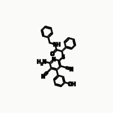 N#Cc1c(N)nc(SC(C(=O)NCc2ccccc2)c2ccccc2)c(C#N)c1-c1cccc(O)c1